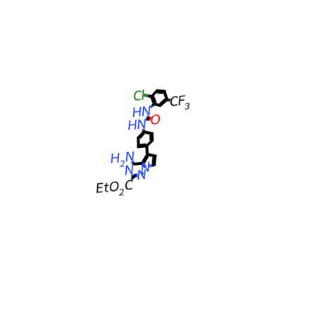 CCOC(=O)c1nc(N)c2c(-c3ccc(NC(=O)Nc4cc(C(F)(F)F)ccc4Cl)cc3)ccn2n1